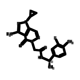 Cc1ccc([C@H](C)NC(=O)Cn2ncc3c(c(C)nn3C3CC3)c2=O)cc1F